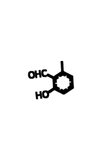 Cc1cccc(O)c1C=O